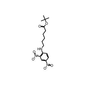 CC(C)(C)OC(=O)CCCCCNc1ccc([N+](=O)[O-])cc1[N+](=O)[O-]